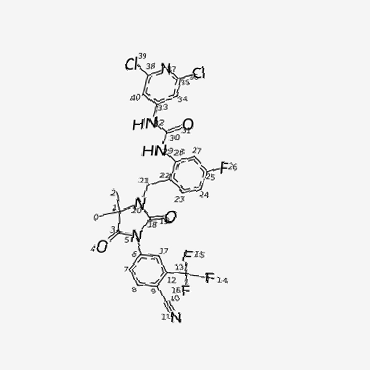 CC1(C)C(=O)N(c2ccc(C#N)c(C(F)(F)F)c2)C(=O)N1Cc1ccc(F)cc1NC(=O)Nc1cc(Cl)nc(Cl)c1